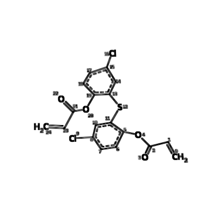 C=CC(=O)Oc1ccc(Cl)cc1Sc1cc(Cl)ccc1OC(=O)C=C